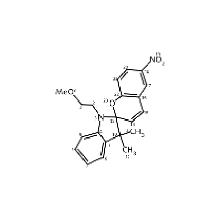 COCCN1c2ccccc2C(C)(C)C12C=Cc1cc([N+](=O)[O-])ccc1O2